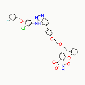 O=C1NC(=O)c2c(Oc3ccccc3CCCOCCOc3ccc(-c4ccc5ncnc(Nc6ccc(OCc7cccc(F)c7)c(Cl)c6)c5c4)cc3)cccc2C1=O